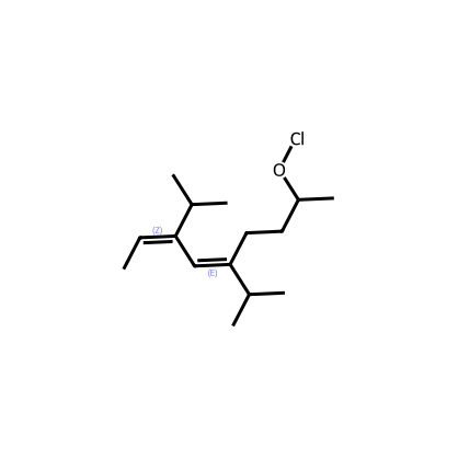 C/C=C(\C=C(/CCC(C)OCl)C(C)C)C(C)C